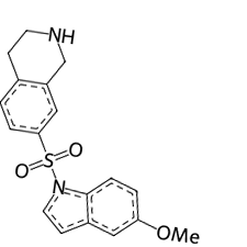 COc1ccc2c(ccn2S(=O)(=O)c2ccc3c(c2)CNCC3)c1